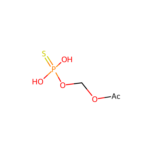 CC(=O)OCOP(O)(O)=S